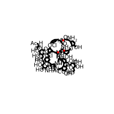 CC(=O)CC(=O)NC1[C@H](Oc2c3cc4cc2Oc2ccc(cc2Cl)[C@@H](O[C@@H]2OC(CO)[C@@H](O)C(O)[C@@H]2NC(C)=O)[C@@H]2NC(=O)[C@H](NC(=O)[C@@H]4NC(=O)[C@H]4NC(=O)[C@@H](Cc5ccc(c(Cl)c5)O3)NC(=O)[C@H](N)c3ccc(O)c(c3)Oc3cc(O)cc4c3)c3ccc(I)c(c3)-c3c(O[C@H]4OC(CO)[C@@H](O)[C@@H](O)C4O)cc(O)cc3[C@@H](C(=O)O)NC2=O)OC(CO)[C@@H](O)[C@@H]1O